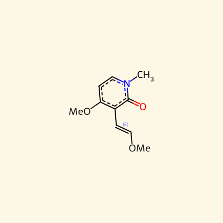 CO/C=C/c1c(OC)ccn(C)c1=O